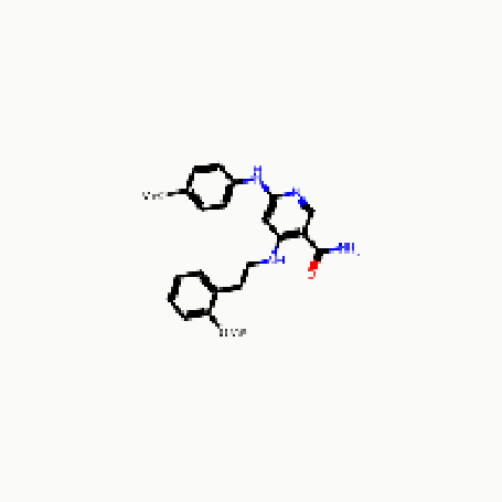 COc1ccc(Nc2cc(NCCc3ccccc3OC)c(C(N)=O)cn2)cc1